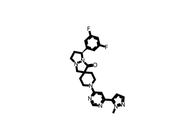 Cn1nccc1-c1cc(N2CCC3(CC2)CN2CC[C@@H](c4cc(F)cc(F)c4)N2C3=O)ncn1